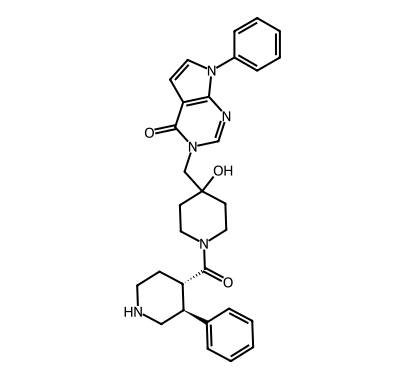 O=C([C@H]1CCNC[C@@H]1c1ccccc1)N1CCC(O)(Cn2cnc3c(ccn3-c3ccccc3)c2=O)CC1